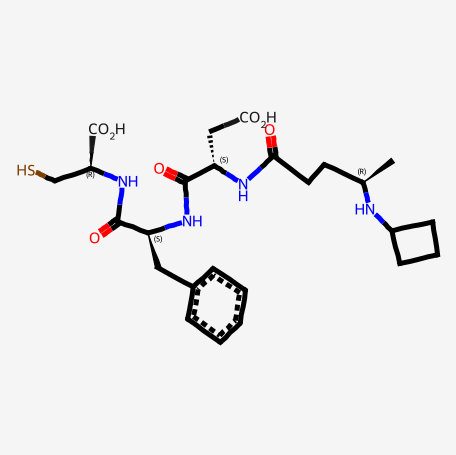 C[C@H](CCC(=O)N[C@@H](CC(=O)O)C(=O)N[C@@H](Cc1ccccc1)C(=O)N[C@@H](CS)C(=O)O)NC1CCC1